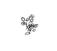 Cc1c(Cc2c(CN(C)C(=O)c3ccccc3C=O)nc3c(N=C(c4ccccc4)c4ccccc4)cc(N4CCOCC4)nn23)cccc1C(F)(F)F